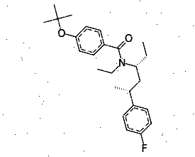 CC[C@H](C[C@@H](C)c1ccc(F)cc1)N(CC)C(=O)c1ccc(OC(C)(C)C)cc1